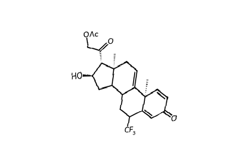 CC(=O)OCC(=O)[C@H]1[C@H](O)CC2C3CC(C(F)(F)F)C4=CC(=O)C=C[C@]4(C)C3=CC[C@@]21C